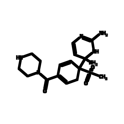 CS(=O)(=O)C1(C2(N)C=CN=C(N)N2)C=CC(C(=O)N2CCNCC2)=CC1